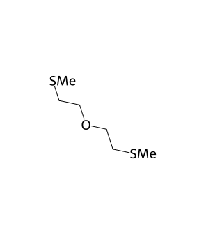 CSCCOCCSC